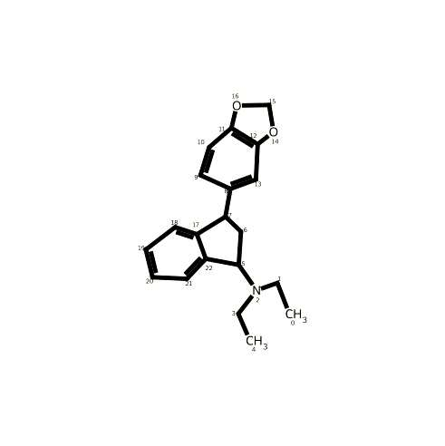 CCN(CC)C1CC(c2ccc3c(c2)OCO3)c2ccccc21